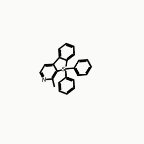 Cc1nccc2c1[Si](c1ccccc1)(c1ccccc1)c1ccccc1-2